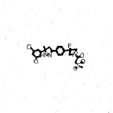 CC1(c2cc(Cl)cc(Cl)c2)CC(c2ccc(C3(F)CN(C(=O)CS(C)(=O)=O)C3)cc2)=NN1